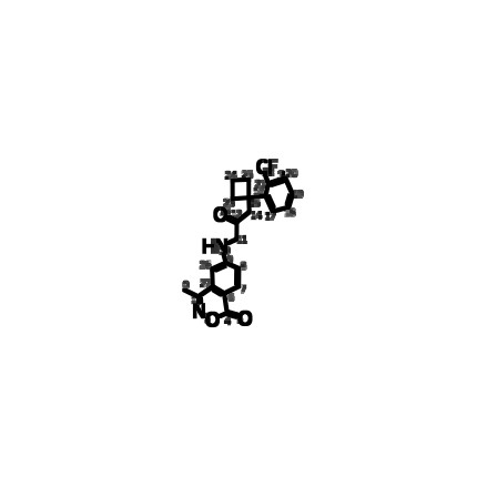 Cc1noc(=O)c2ccc(NCC(=O)CC3(c4ccccc4C(F)(F)F)CCC3)cc12